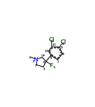 CN1CCC(F)(c2ccc(Cl)c(Cl)c2)C1